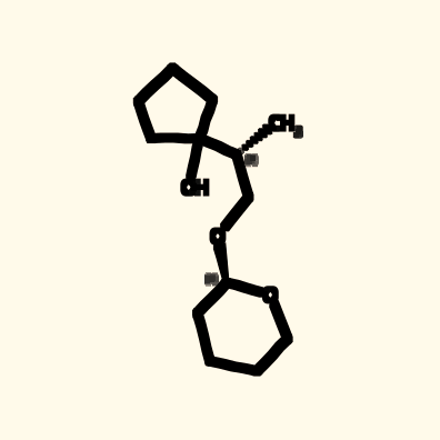 C[C@H](CO[C@@H]1CCCCO1)C1(O)CCCC1